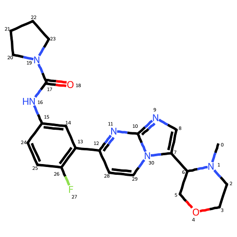 CN1CCOCC1c1cnc2nc(-c3cc(NC(=O)N4CCCC4)ccc3F)ccn12